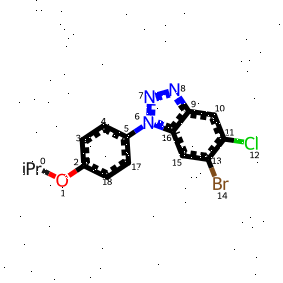 CC(C)Oc1ccc(-n2nnc3cc(Cl)c(Br)cc32)cc1